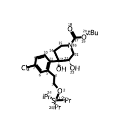 CC(C)[Si](OCCc1cc(Cl)ccc1[C@@]1(O)CCN(C(=O)OC(C)(C)C)C[C@@H]1O)(C(C)C)C(C)C